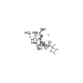 C[C@H]1[C@H](OC(=O)C2(C)CCC2)C(O)(O)[C@]23NC(=N)N[C@H]2[C@H](CO)NC(=N)N13